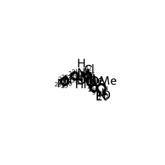 CCN1C(=O)CCCc2c1ccc(Nc1ncc(Cl)c(Nc3ccc(N4CCN(C)CC4)cc3OC)n1)c2OC